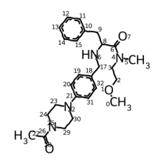 COCCN(C)C(=O)C(Cc1ccccc1)NCc1ccc(N2CCN(C(C)=O)CC2)cc1